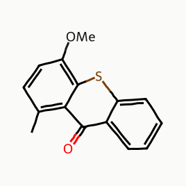 COc1ccc(C)c2c(=O)c3ccccc3sc12